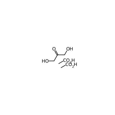 CC(=O)O.CC(=O)O.O=C(CO)CO